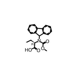 CC[C@H](C(=O)O)N(C(=O)OC)C1c2ccccc2-c2ccccc21